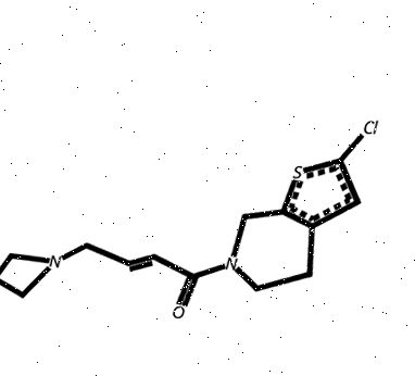 O=C(/C=C/CN1CCC1)N1CCc2cc(Cl)sc2C1